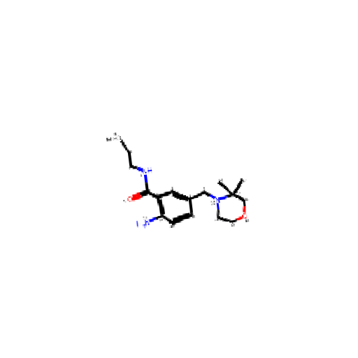 COCCNC(=O)c1cc(CN2CCOCC2(C)C)ccc1N